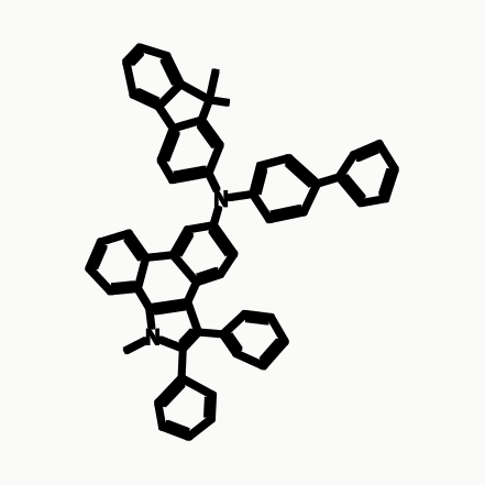 Cn1c(-c2ccccc2)c(-c2ccccc2)c2c3ccc(N(c4ccc(-c5ccccc5)cc4)c4ccc5c(c4)C(C)(C)c4ccccc4-5)cc3c3ccccc3c21